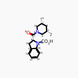 C[C@@H]1C[C@H](C)CN(C(=O)[C@H]2Cc3ccccc3N2C(=O)O)C1